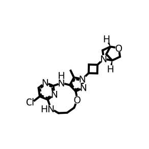 Cc1c2c(nn1C1CC(N3C[C@H]4C[C@@H]3CO4)C1)OCCCNc1nc(ncc1Cl)N2